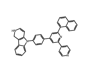 C1=Cc2c(c3ccccc3n2-c2ccc(-c3cc(-c4ccncc4)nc(-c4cccc5ccccc45)c3)cc2)CN1